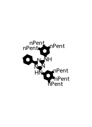 CCCCCc1cc(Nc2nc(Nc3cc(CCCCC)c(CCCCC)c(CCCCC)c3)nc(-c3cc[c]cc3)n2)cc(CCCCC)c1CCCCC